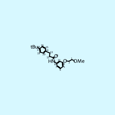 COCCOc1cccc(NC(=O)CCc2ccc(C(C)(C)C)cc2)c1